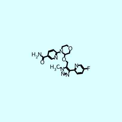 Cn1nnc(-c2ccc(F)cn2)c1COC1COCCN1c1ccc(C(N)=O)cn1